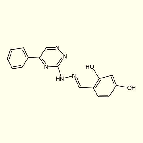 Oc1ccc(/C=N/Nc2nncc(-c3ccccc3)n2)c(O)c1